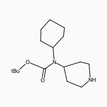 CC(C)(C)OC(=O)N(C1CCCCC1)C1CCNCC1